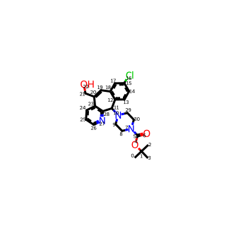 CC(C)(C)OC(=O)N1CCN(C2c3ccc(Cl)cc3C=C(CO)c3cccnc32)CC1